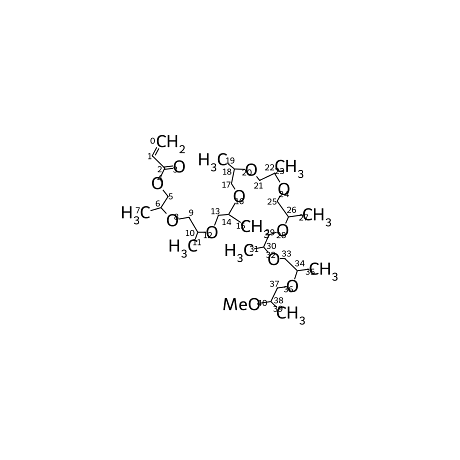 C=CC(=O)OCC(C)OCC(C)OCC(C)OCC(C)OCC(C)OCC(C)OCC(C)OCC(C)OCC(C)OC